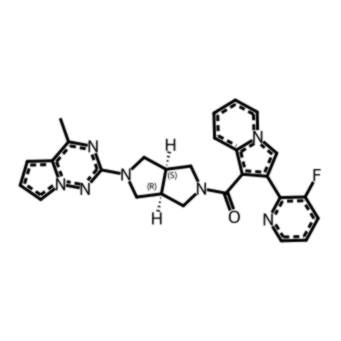 Cc1nc(N2C[C@H]3CN(C(=O)c4c(-c5ncccc5F)cn5ccccc45)C[C@H]3C2)nn2cccc12